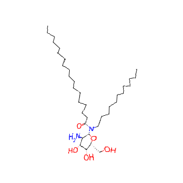 CCCCCCCCCCCCCCCCCC(=O)N(CCCCCCCCCCCC)[C@@H]1O[C@H](CO)[C@H](O)[C@H](O)[C@H]1N